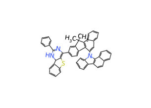 CC1(C)c2cc(C3=C4Sc5ccccc5C4NC(c4ccccc4)=N3)ccc2-c2c(-n3c4ccccc4c4ccc5ccccc5c43)cc3ccccc3c21